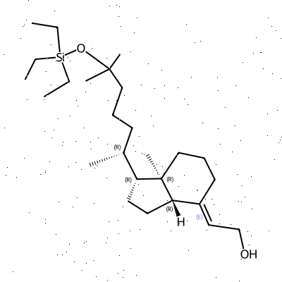 CC[Si](CC)(CC)OC(C)(C)CCC[C@@H](C)[C@H]1CC[C@H]2/C(=C/CO)CCC[C@]12C